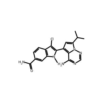 CC(C)c1cc(-c2c(Cl)c3ccc(C(N)=O)cc3n2C)c2c(N)ncnn12